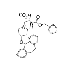 O=C(N[C@H](CN1CCC(OC2c3ccccc3CCc3ccccc32)CC1)C(=O)O)OCc1ccccc1